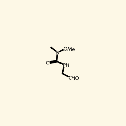 CON(C)C(=O)PCC=O